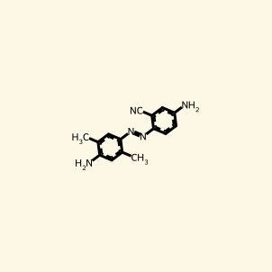 Cc1cc(N=Nc2ccc(N)cc2C#N)c(C)cc1N